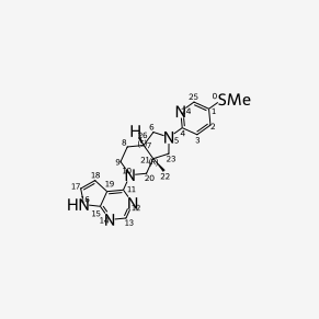 CSc1ccc(N2C[C@H]3CCN(c4ncnc5[nH]ccc45)C[C@@]3(C)C2)nc1